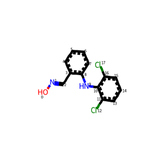 ON=Cc1ccccc1Nc1c(Cl)cccc1Cl